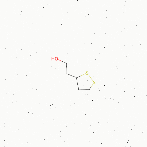 OCCC1CCSS1